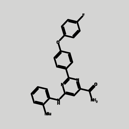 CCCCc1ccccc1Nc1cc(C(N)=O)nc(-c2ccc(Oc3ccc(F)cc3)cc2)n1